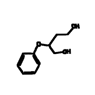 OCCC(CO)Oc1ccccc1